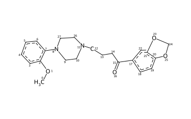 COc1ccccc1N1CCN(CCCC(=O)c2ccc3c(c2)OCO3)CC1